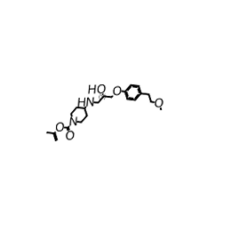 C=C(C)OC(=O)N1CCC(NC[C@H](O)COc2ccc(CCOC)cc2)CC1